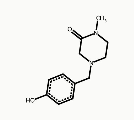 CN1CCN(Cc2ccc(O)cc2)CC1=O